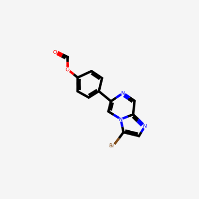 O=COc1ccc(-c2cn3c(Br)cnc3cn2)cc1